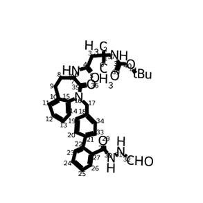 CC(C)(CC(=O)N[C@@H]1CCc2ccccc2N(Cc2ccc(-c3ccccc3C(=O)NNC=O)cc2)C1=O)NC(=O)OC(C)(C)C